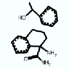 CC(O)c1ccccc1.NC(=O)C1(N)CCCc2ccccc21